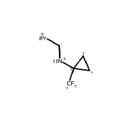 CC(C)CNC1(C(F)(F)F)CC1